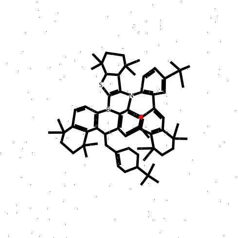 Cc1cc2c3c(c1)N(c1ccc(C(C)(C)C)cc1-c1ccc4c(c1)C(C)(C)CCC4(C)C)C1=C(SC4C1C(C)(C)CCC4(C)C)B3c1ccc3c(c1C2CC1=CCC(C(C)(C)C)CC1)C(C)(C)CCC3(C)C